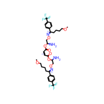 COCCCC/C(=N\OCC(N)OC(=O)/C=C\C(=O)OC(N)CO/N=C(\CCCCOC)c1ccc(C(F)(F)F)cc1)c1ccc(C(F)(F)F)cc1